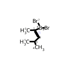 C/C(=C\C(C)C)B(Br)Br